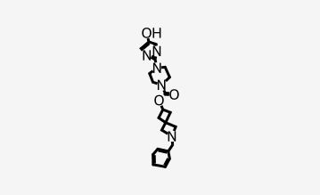 O=C(OC1CC2(C1)CN(Cc1ccccc1)C2)N1CCN(c2ncc(O)cn2)CC1